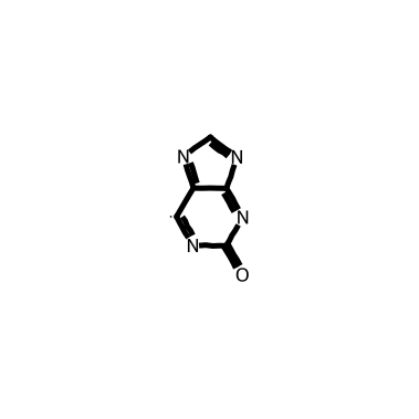 O=C1N=[C]C2=NC=NC2=N1